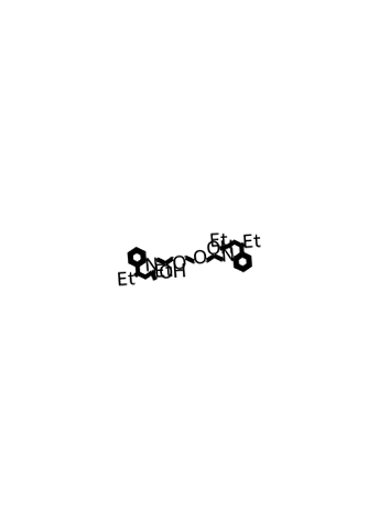 CCC1CC(C)(CC)N(CC(O)COCCOCC(O)CN2c3ccccc3C(CC)CC2(C)CC)c2ccccc21